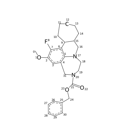 COc1cc2c3c(c1F)C1CCCCCC1CN3CCN(C(=O)OCc1ccccc1)C2